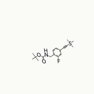 CC(C)(C)OC(=O)NCc1ccc(C#CS(C)(C)C)cc1F